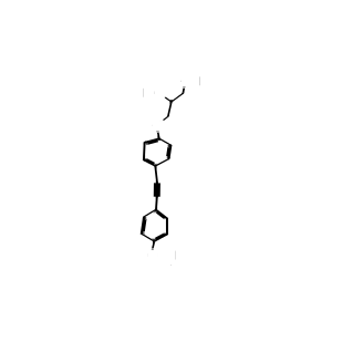 O=C(O)c1ccc(C#Cc2ccc(OCC(O)CO)cc2)cc1